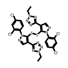 CCn1nnc(-c2cnn(-c3ccc(Cl)cc3Cl)c2SSc2c(-c3nnn(CC)n3)cnn2-c2ccc(Cl)cc2Cl)n1